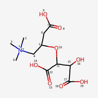 C[N+](C)(C)CC(CC(=O)O)OC(C(=O)O)C(O)C(=O)O